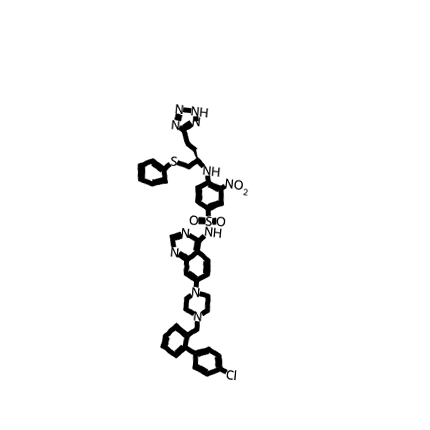 O=[N+]([O-])c1cc(S(=O)(=O)Nc2ncnc3cc(N4CCN(Cc5ccccc5-c5ccc(Cl)cc5)CC4)ccc23)ccc1N[C@H](CCc1nn[nH]n1)CSc1ccccc1